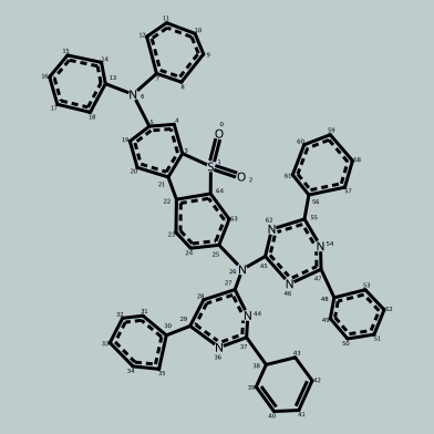 O=S1(=O)c2cc(N(c3ccccc3)c3ccccc3)ccc2-c2ccc(N(c3cc(-c4ccccc4)nc(C4C=CC=CC4)n3)c3nc(-c4ccccc4)nc(-c4ccccc4)n3)cc21